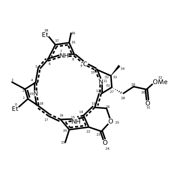 CCC1=C(C)c2cc3[nH]c(cc4nc(c5c6[nH]c(cc1n2)c(C)c6C(=O)OC5)[C@@H](CCC(=O)OC)[C@@H]4C)c(C)c3CC